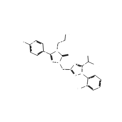 CC(C)c1ccccc1-n1nc(Cn2nc(-c3ccc(Cl)cc3)n(CCC(F)(F)F)c2=O)nc1C(C)F